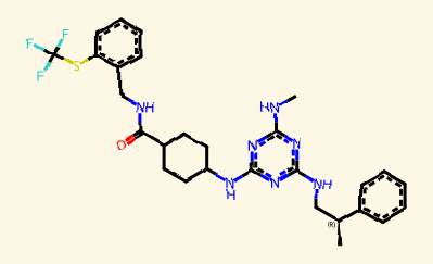 CNc1nc(NC[C@H](C)c2ccccc2)nc(NC2CCC(C(=O)NCc3ccccc3SC(F)(F)F)CC2)n1